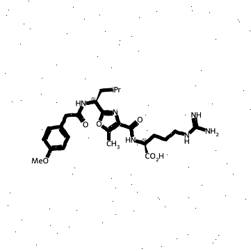 COc1ccc(CC(=O)N[C@@H](CC(C)C)c2nc(C(=O)N[C@@H](CCCNC(=N)N)C(=O)O)c(C)o2)cc1